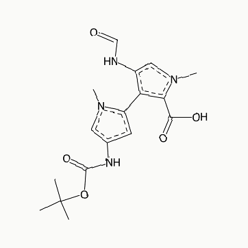 Cn1cc(NC(=O)OC(C)(C)C)cc1-c1c(NC=O)cn(C)c1C(=O)O